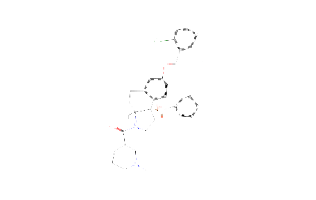 CN1CCCC(C(=O)N2CC[C@@]3(S(=O)(=O)c4ccccc4)c4ccc(OCc5c(Cl)cccc5Cl)cc4CC[C@@H]23)C1